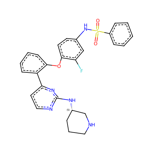 O=S(=O)(Nc1ccc(Oc2ccccc2-c2ccnc(N[C@H]3CCCNC3)n2)c(F)c1)c1ccccc1